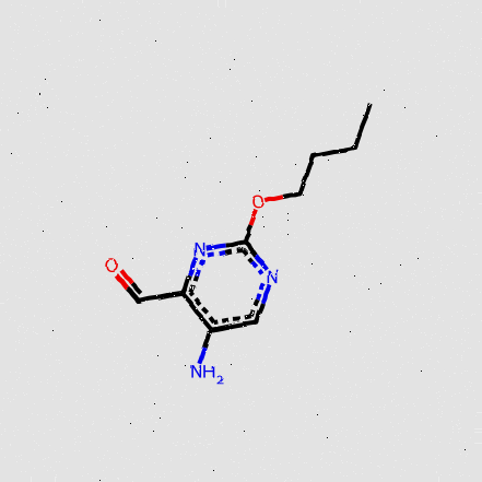 CCCCOc1ncc(N)c(C=O)n1